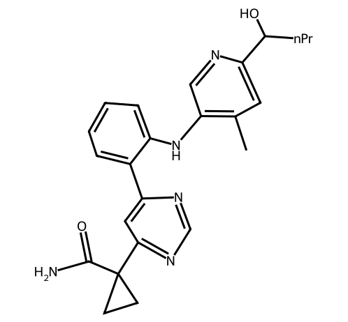 CCCC(O)c1cc(C)c(Nc2ccccc2-c2cc(C3(C(N)=O)CC3)ncn2)cn1